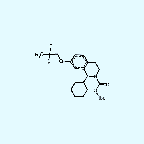 CC(F)(F)COc1ccc2c(c1)C(C1CCCCC1)N(C(=O)OC(C)(C)C)CC2